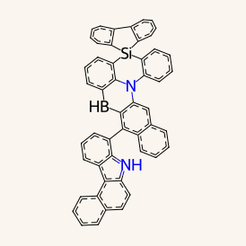 B1c2cccc3c2N(c2ccccc2[Si]32c3ccccc3-c3ccccc32)c2cc3ccccc3c(-c3cccc4c3[nH]c3ccc5ccccc5c34)c21